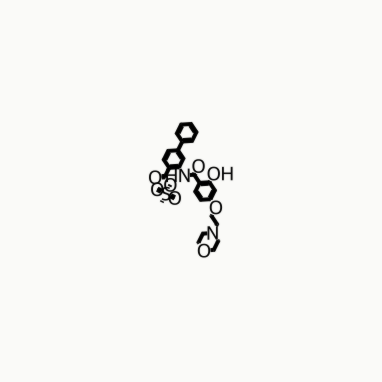 CS(=O)(=O)OC(=O)c1ccc(-c2ccccc2)cc1NC(=O)c1ccc(OCCN2CCOCC2)cc1O